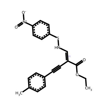 CCOC(=O)/C(C#Cc1ccc(C)cc1)=C/NSc1ccc([N+](=O)[O-])cc1